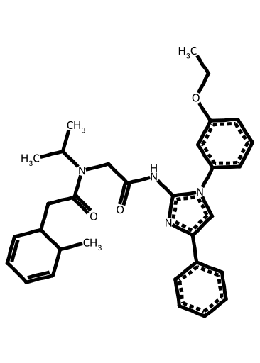 CCOc1cccc(-n2cc(-c3ccccc3)nc2NC(=O)CN(C(=O)CC2C=CC=CC2C)C(C)C)c1